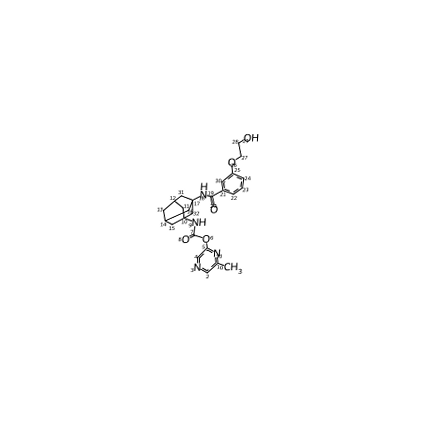 Cc1cncc(OC(=O)NC23CC4CC(C2)CC(NC(=O)c2cccc(OCCO)c2)(C4)C3)n1